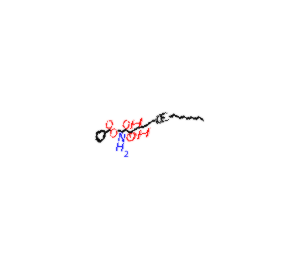 CCCCCCCCCCCCCC[C@@H](O)[C@@H](O)[C@@H](N)COC(=O)c1ccccc1